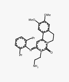 COc1cc2c(cc1OC)-c1cc(=Nc3c(C(C)C)cccc3C(C)C)n(CCN)c(=O)n1CC2